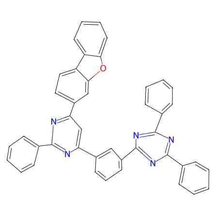 c1ccc(-c2nc(-c3cccc(-c4nc(-c5ccccc5)nc(-c5ccccc5)n4)c3)cc(-c3ccc4c(c3)oc3ccccc34)n2)cc1